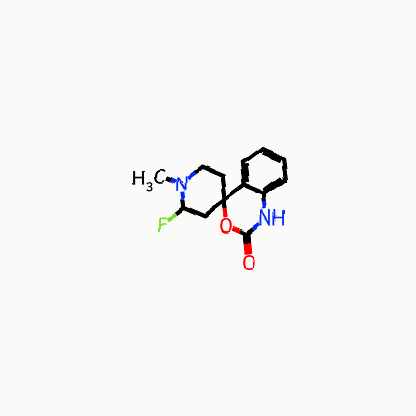 CN1CCC2(CC1F)OC(=O)Nc1ccccc12